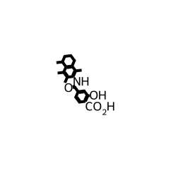 Cc1c(C)c2c(c(C)c1NC(=O)c1ccc(C(=O)O)c(O)c1)CCCC2C